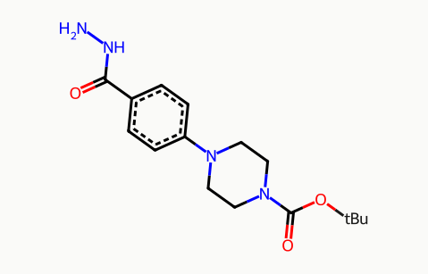 CC(C)(C)OC(=O)N1CCN(c2ccc(C(=O)NN)cc2)CC1